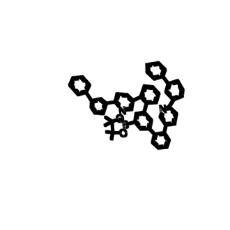 CC1(C)OB(c2cc(-c3ccccc3-c3ccc(-c4cccc(-c5ccccc5)c4)nc3)cc(-c3ccccc3-c3ccc(-c4cccc(-c5ccccc5)c4)nc3)c2)OC1(C)C